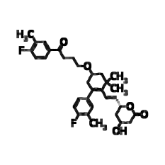 Cc1cc(C(=O)CCCOC2CC(c3ccc(F)c(C)c3)=C(C=C[C@H]3C[C@H](O)CC(=O)O3)C(C)(C)C2)ccc1F